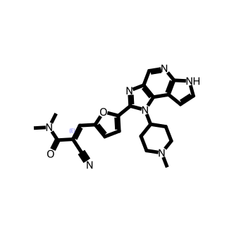 CN1CCC(n2c(-c3ccc(/C=C(\C#N)C(=O)N(C)C)o3)nc3cnc4[nH]ccc4c32)CC1